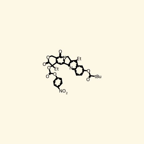 CCc1c2c(nc3ccc(OC(=O)C(C)(C)C)cc13)-c1cc3c(c(=O)n1C2)COC(=O)C3(CC)OC(=O)Oc1ccc([N+](=O)[O-])cc1